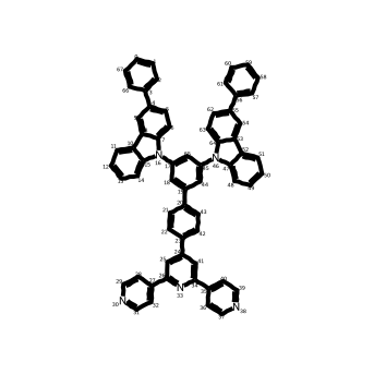 c1ccc(-c2ccc3c(c2)c2ccccc2n3-c2cc(-c3ccc(-c4cc(-c5ccncc5)nc(-c5ccncc5)c4)cc3)cc(-n3c4ccccc4c4cc(-c5ccccc5)ccc43)c2)cc1